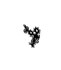 CCOC(=O)c1ccc(-c2c(-c3ccncc3)nnn2CC(=O)OCC(C)C)cc1